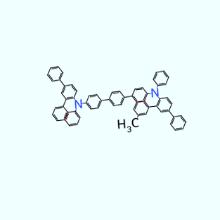 Cc1cccc(-c2cc(-c3ccccc3)ccc2N(c2ccccc2)c2ccc(-c3ccc(-c4ccc(N(c5ccccc5)c5ccc(-c6ccccc6)cc5-c5ccccc5)cc4)cc3)cc2)c1